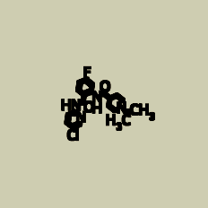 CC(C)N1CCC(C(=O)Nc2cc(F)ccc2C(=O)Nc2ccc(Cl)cn2)CC1